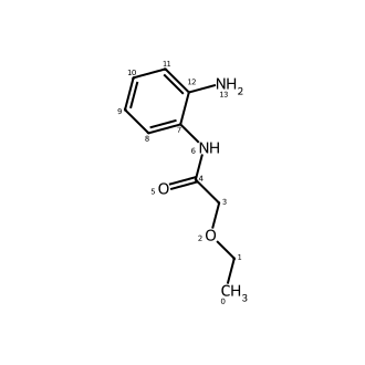 CCOCC(=O)Nc1ccccc1N